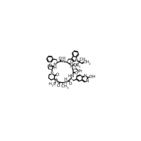 C=CC(C)(C)n1cc(C[C@@H]2NC(=O)[C@H](Cc3ccccc3)NC(=O)[C@H](CC(C)C)N3CCC[C@@H](C3=O)N(C)C(=O)[C@H](C)NC(=O)[C@H](Cc3ccc4nc(O)ncc4c3)NC(=O)[C@H](CC(C)C)N(C)C2=O)c2ccccc21